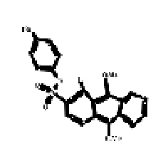 COc1c2ccccc2c(OC)c2c(I)c(S(=O)(=O)Oc3ccc(C(C)(C)C)cc3)ccc12